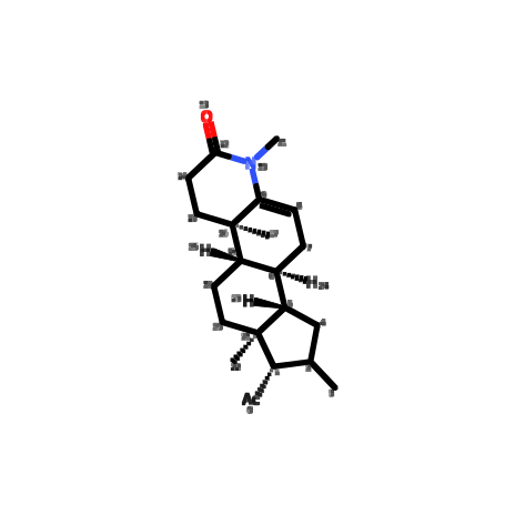 CC(=O)[C@H]1C(C)C[C@H]2[C@@H]3CC=C4N(C)C(=O)CC[C@]4(C)[C@H]3CC[C@]12C